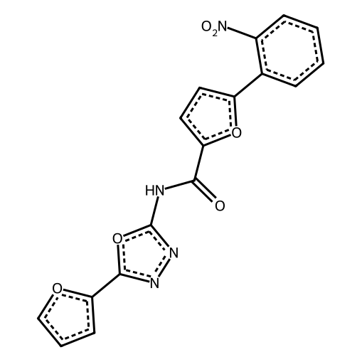 O=C(Nc1nnc(-c2ccco2)o1)c1ccc(-c2ccccc2[N+](=O)[O-])o1